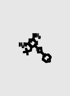 CC(C)(C)Cc1c(N)nc(N)nc1N1CC(N2CCOCC2)C1